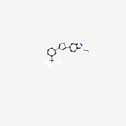 CCCn1cnc2cc(C3=CC(c4cccc(C(C)(C)C)c4)=CC3)ccc21